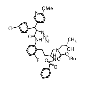 COc1ccc([C@H](c2ccc(Cl)cc2)C(N=[N+]=[N-])C(=O)Nc2cccc(F)c2CC[C@@H](CN(C[C@H](C)O)C(=O)OC(C)(C)C)NS(=O)(=O)c2ccccc2)cn1